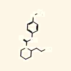 O=C(Nc1ccc(OC(F)(F)F)cc1)N1CCCCC1CCO